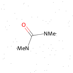 C[N]C(=O)[N]C